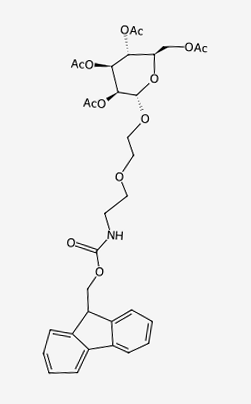 CC(=O)OC[C@H]1O[C@H](OCCOCCNC(=O)OCC2c3ccccc3-c3ccccc32)[C@@H](OC(C)=O)[C@@H](OC(C)=O)[C@@H]1OC(C)=O